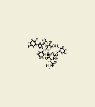 CC(C)(C)[C@H](c1cc(-c2cc(F)ccc2F)cn1Cc1ccccc1)N(CCCNC(=O)[C@H](CC(N)=O)NC(=O)OCc1ccccc1)C(=O)CO